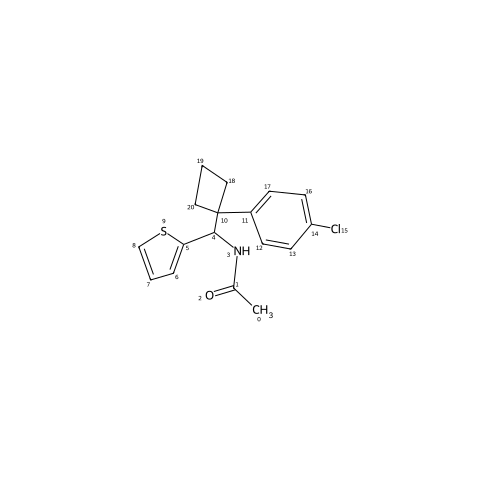 CC(=O)NC(c1cccs1)C1(c2ccc(Cl)cc2)CCC1